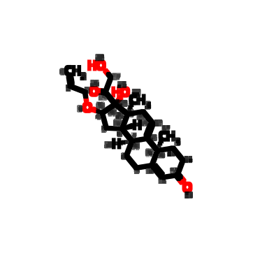 C=CCO[C@@H]1C[C@H]2[C@@H]3CCC4=CC(=O)CC[C@]4(C)C3=CC[C@]2(C)[C@@]1(O)C(=O)CO